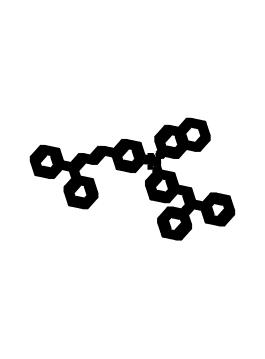 C(/C=C/c1ccc(N(c2cccc(C=C(c3ccccc3)c3ccccc3)c2)c2ccc3c(c2)CCCC3)cc1)=C(c1ccccc1)c1ccccc1